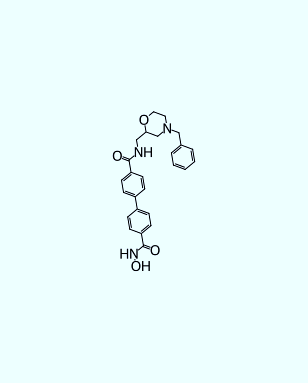 O=C(NO)c1ccc(-c2ccc(C(=O)NCC3CN(Cc4ccccc4)CCO3)cc2)cc1